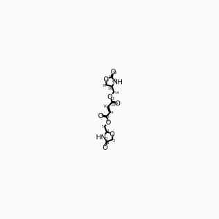 O=C1COC(COC(=O)/C=C/C(=O)OCC2COC(=O)N2)N1